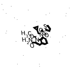 COCn1c(C(N)=O)cc2cccc(N(CC3CC3)S(=O)(=O)c3cccs3)c21